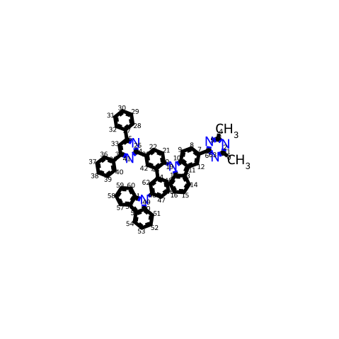 Cc1nc(C)nc(-c2ccc3c(c2)c2ccccc2n3-c2ccc(-c3nc(-c4ccccc4)cc(-c4ccccc4)n3)cc2-c2cccc(-n3c4ccccc4c4ccccc43)c2)n1